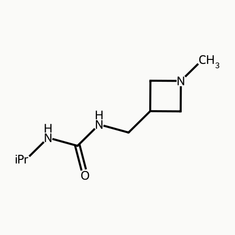 CC(C)NC(=O)NCC1CN(C)C1